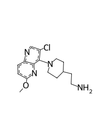 COc1ccc2ncc(Cl)c(N3CCC(CCN)CC3)c2n1